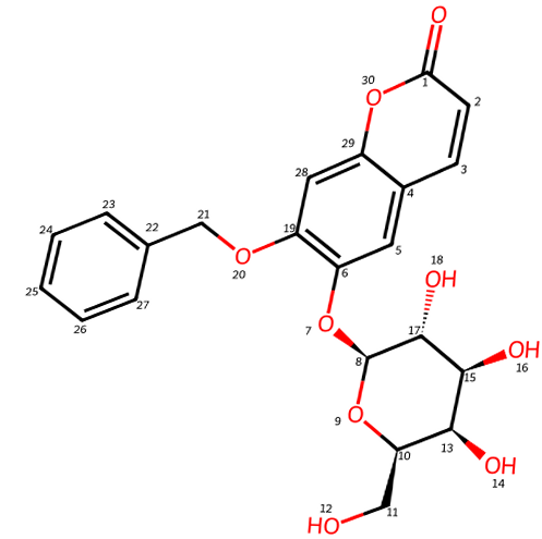 O=c1ccc2cc(O[C@@H]3O[C@H](CO)[C@H](O)[C@H](O)[C@H]3O)c(OCc3ccccc3)cc2o1